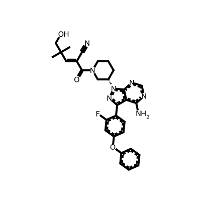 CC(C)(C=C(C#N)C(=O)N1CCC[C@H](n2nc(-c3ccc(Oc4ccccc4)cc3F)c3c(N)ncnc32)C1)CO